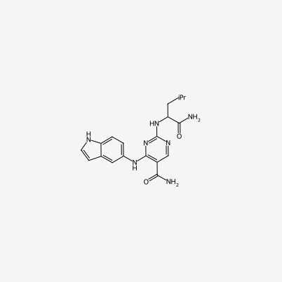 CC(C)CC(Nc1ncc(C(N)=O)c(Nc2ccc3[nH]ccc3c2)n1)C(N)=O